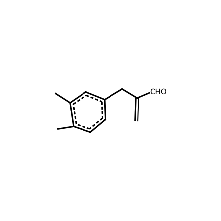 C=C(C=O)Cc1ccc(C)c(C)c1